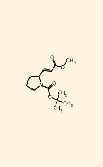 COC(=O)/C=C/[C@@H]1CCCN1C(=O)OC(C)(C)C